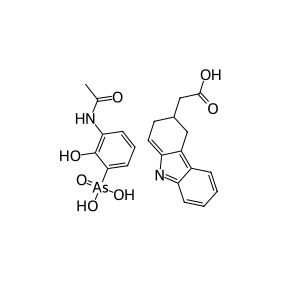 CC(=O)Nc1cccc([As](=O)(O)O)c1O.O=C(O)CC1CC=C2N=c3ccccc3=C2C1